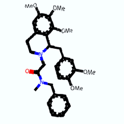 COc1ccc(CC2c3c(cc(OC)c(OC)c3OC)CCN2CC(=O)N(C)Cc2ccccc2)cc1OC